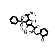 Cc1c(C(=O)N(C)Cc2ccccc2Cl)[nH]c(C(N)=O)c1S(=O)(=O)c1ccccc1